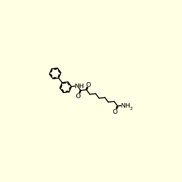 NC(=O)CCCCCCC(=O)C(=O)Nc1cccc(-c2ccccc2)c1